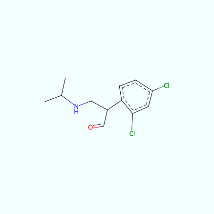 CC(C)NCC(C=O)c1ccc(Cl)cc1Cl